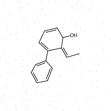 CC=C1C(c2ccccc2)=CC=CC1O